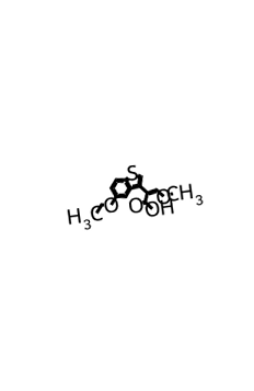 CCOc1ccc2scc(C(=COC)C(=O)O)c2c1